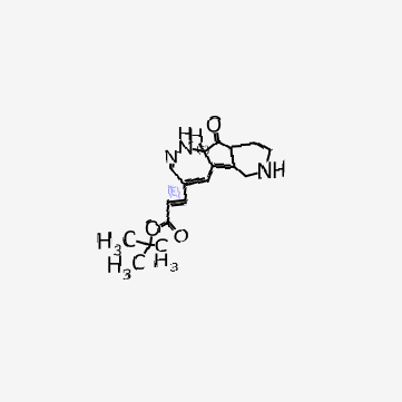 CC(C)(C)OC(=O)/C=C/C1=CC2=C3CNCCC3C(=O)[C@H]2NN=C1